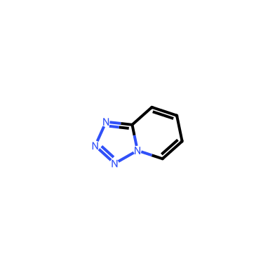 c1ccn2nnnc2c1